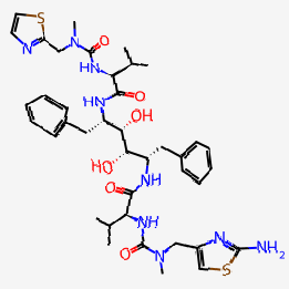 CC(C)[C@H](NC(=O)N(C)Cc1csc(N)n1)C(=O)N[C@@H](Cc1ccccc1)[C@H](O)[C@@H](O)[C@H](Cc1ccccc1)NC(=O)[C@@H](NC(=O)N(C)Cc1nccs1)C(C)C